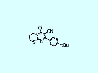 CC(C)(C)c1ccc(-c2nc3n(c(=O)c2C#N)CCCS3)cc1